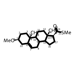 CO[C@H]1CC[C@@]2(C)C(=CCC3C2CC[C@@]2(C)C3CC[C@@H]2C(=O)SC)C1